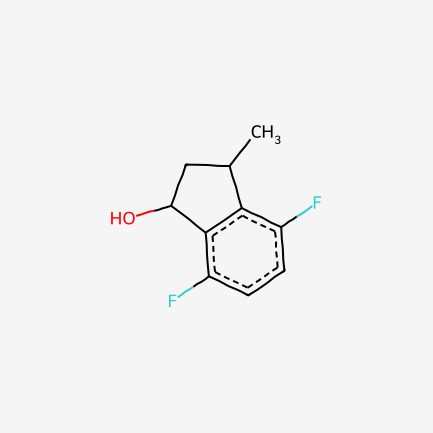 CC1CC(O)c2c(F)ccc(F)c21